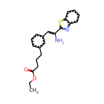 CCOC(=O)CCCc1cccc(C=C(N)c2nc3ccccc3s2)c1